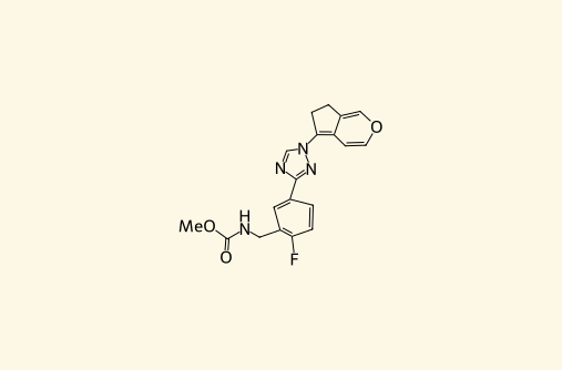 COC(=O)NCc1cc(-c2ncn(C3=C4C=COC=C4CC3)n2)ccc1F